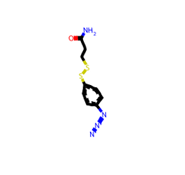 [N-]=[N+]=Nc1ccc(SSCCC(N)=O)cc1